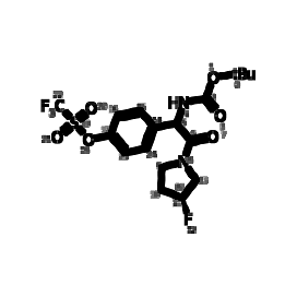 CC(C)(C)OC(=O)NC(C(=O)N1CC[C@H](F)C1)c1ccc(OS(=O)(=O)C(F)(F)F)cc1